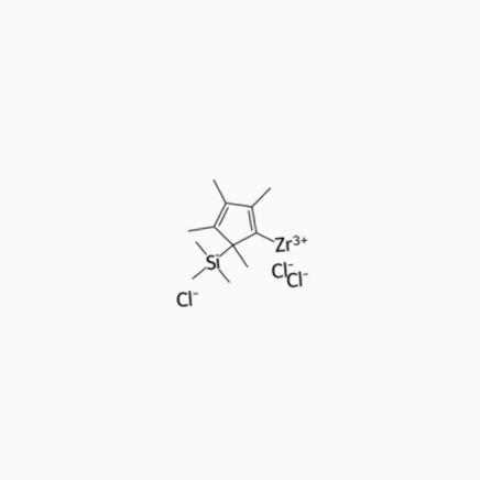 CC1=C(C)C(C)([Si](C)(C)C)[C]([Zr+3])=C1C.[Cl-].[Cl-].[Cl-]